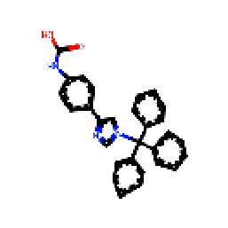 O=C(O)Nc1ccc(-c2cn(C(c3ccccc3)(c3ccccc3)c3ccccc3)cn2)cc1